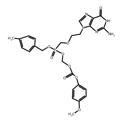 COc1ccc(OC(=O)OCOP(=O)(COCCn2cnc3c(=O)[nH]c(N)nc32)OCc2ccc(C)cc2)cc1